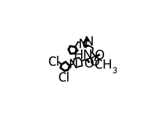 COC(=O)C(Cc1cn(Cc2ccccc2)cn1)NC(=O)C1CCN(c2cc(Cl)cc(Cl)c2)CC1